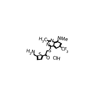 CNc1cc(C(F)(F)F)cc2c(SCC(=O)c3ccc(CN)s3)nc(C)nc12.Cl